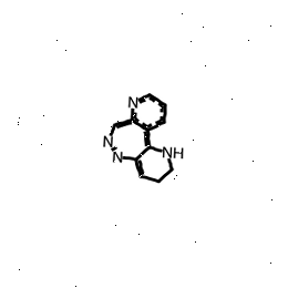 C1=C2N=NC=c3ncccc3=C2NCC1